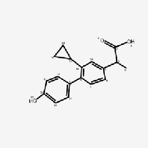 CC(C(=O)O)c1ccc(-c2ccc(O)cc2)c(C2CC2)c1